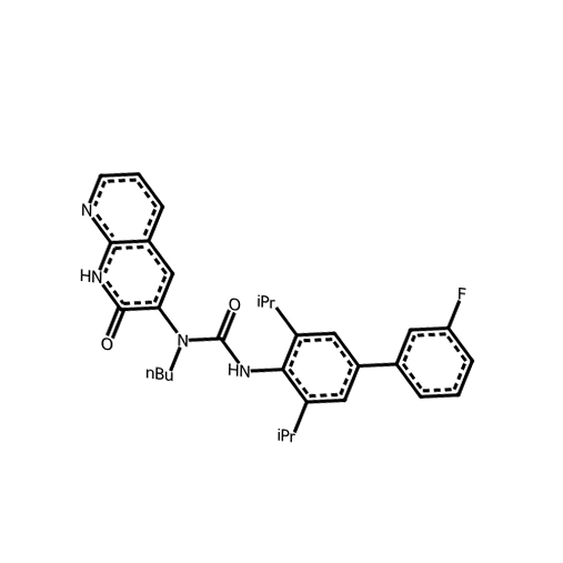 CCCCN(C(=O)Nc1c(C(C)C)cc(-c2cccc(F)c2)cc1C(C)C)c1cc2cccnc2[nH]c1=O